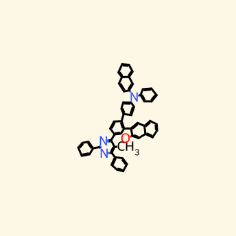 Cc1c(-c2ccccc2)nc(-c2ccccc2)nc1-c1ccc(-c2ccc(N(c3ccccc3)c3ccc4ccccc4c3)cc2)c2c1oc1cc3ccccc3cc12